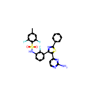 Cc1cc(F)c(S(=O)(=O)Nc2cccc(-c3nc(-c4ccccc4)sc3-c3ccnc(N)n3)c2F)c(F)c1